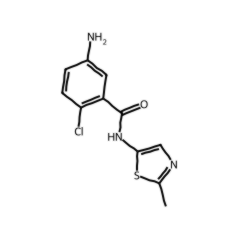 Cc1ncc(NC(=O)c2cc(N)ccc2Cl)s1